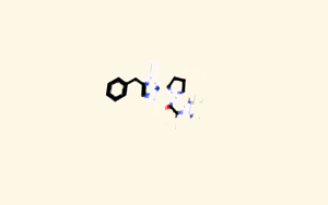 CC(C)(C)[C@@H](C(=O)N1C[C@H](O)C[C@H]1c1ncc(Cc2ccccc2)[nH]1)N(C(=O)O)C(C)(C)C